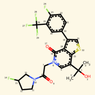 CC(C)(O)c1cn(CC(=O)N2CCC(F)C2)c(=O)c2c(-c3ccc(F)c(C(F)(F)F)c3)csc12